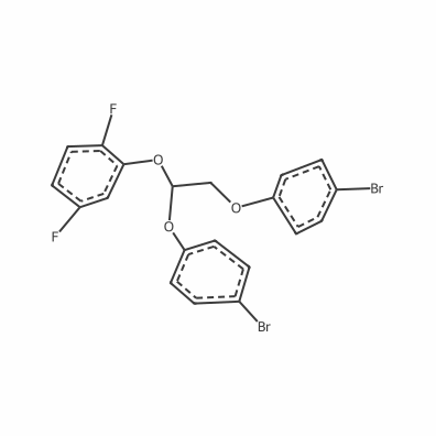 Fc1ccc(F)c(OC(COc2ccc(Br)cc2)Oc2ccc(Br)cc2)c1